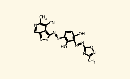 Cc1noc(/N=N/c2c(O)ccc(/N=N/c3snc4cnc(C)c(C#N)c34)c2O)n1